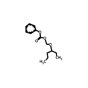 CCCC(CC)OCOC(=O)Oc1ccccc1